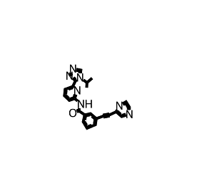 CC(C)n1cnnc1-c1cccc(NC(=O)c2cccc(C#Cc3cnccn3)c2)n1